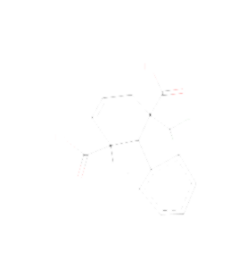 CC1(C(=O)O)C=CCC(C(=O)O)(C(F)F)C1c1ccccc1